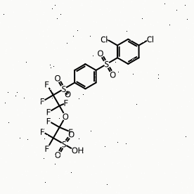 O=S(=O)(c1ccc(S(=O)(=O)C(F)(F)C(F)(F)OC(F)(F)C(F)(F)S(=O)(=O)O)cc1)c1ccc(Cl)cc1Cl